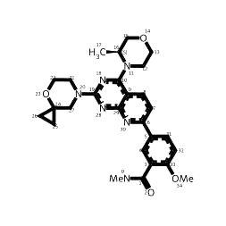 CNC(=O)c1cc(-c2ccc3c(N4CCOC[C@@H]4C)nc(N4CCOC5(CC5)C4)nc3n2)ccc1OC